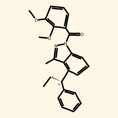 CC[C@@H](c1ccccc1)c1cccc2c1c(C)nn2C(=O)c1cccc(OC)c1OC